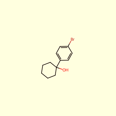 OC1(c2ccc(Br)cc2)CCCCC1